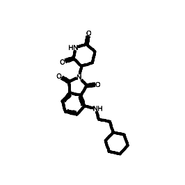 O=C1CCC(N2C(=O)c3cccc(NCCC4CCCCC4)c3C2=O)C(=O)N1